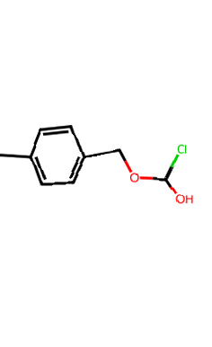 Cc1ccc(COC(O)Cl)cc1